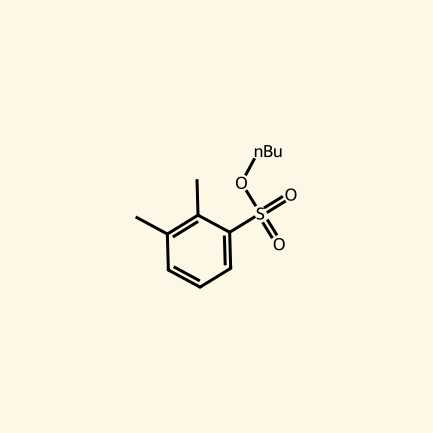 CCCCOS(=O)(=O)c1cccc(C)c1C